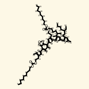 CCCCCCCCCOC(=O)OCCc1cc(-c2c(F)c(F)c(-c3cc(CCOC(=O)OCCCCCCCCC)c(-c4cc5c(s4)-c4sc(C)cc4[Si]5(CC(CC)CCCC)CC(CC)CCCC)s3)c3nonc23)sc1C